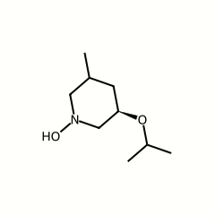 CC1C[C@@H](OC(C)C)CN(O)C1